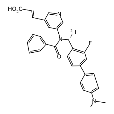 [2H][C@H](c1ccc(-c2ccc(N(C)C)cc2)cc1F)N(C(=O)c1ccccc1)c1cncc(/C=C/C(=O)O)c1